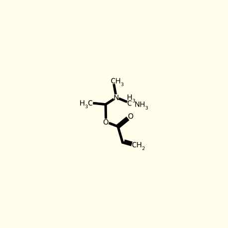 C=CC(=O)OC(C)N(C)C.N